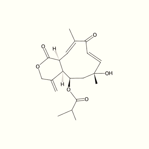 C=C1COC(=O)[C@H]2/C=C(\C)C(=O)/C=C/[C@](C)(O)C[C@@H](OC(=O)C(C)C)[C@@H]12